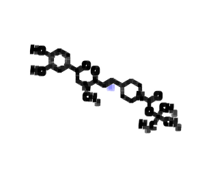 CN(CC(=O)c1ccc(O)c(O)c1)C(=O)/C=C/C1CCN(C(=O)OC(C)(C)C)CC1